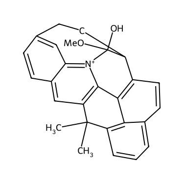 COC1(O)C2CCc3ccc4cc5c([n+]1c4c3)-c1c2ccc2cccc(c12)C5(C)C